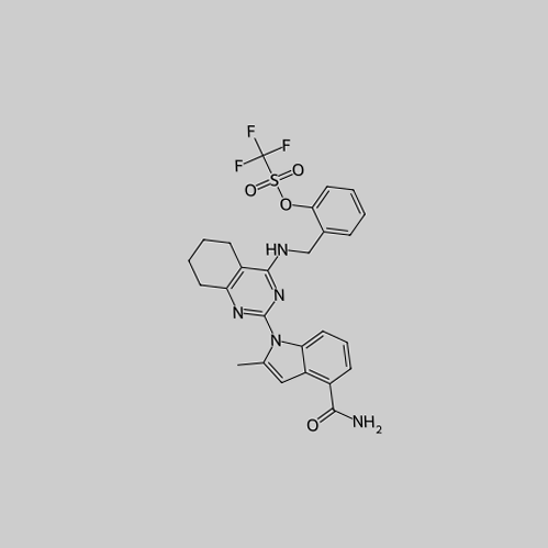 Cc1cc2c(C(N)=O)cccc2n1-c1nc2c(c(NCc3ccccc3OS(=O)(=O)C(F)(F)F)n1)CCCC2